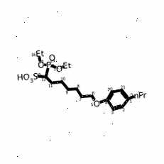 CCCc1ccc(OCCCCCCC(P(=O)(OCC)OCC)S(=O)(=O)O)cc1